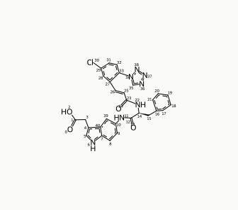 O=C(O)Cc1c[nH]c2ccc(NC(=O)[C@H](Cc3ccccc3)NC(=O)/C=C/c3cc(Cl)ccc3-n3cnnn3)cc12